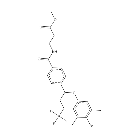 COC(=O)CCNC(=O)c1ccc(C(CCC(F)(F)F)Oc2cc(C)c(Br)c(C)c2)cc1